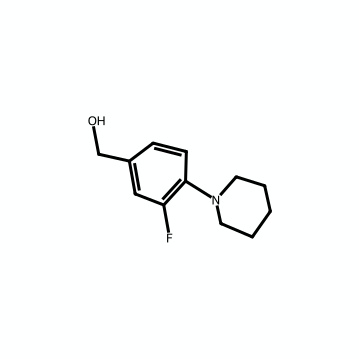 OCc1ccc(N2CCCCC2)c(F)c1